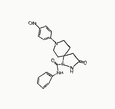 O=Nc1ccc(N2CCC3(CC2)CC(=O)NN3C(=O)Nc2ccccc2)cc1